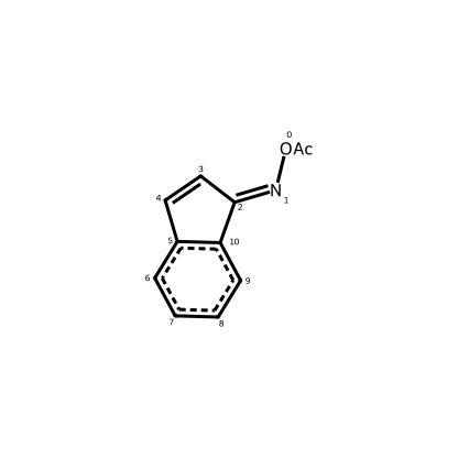 CC(=O)ON=C1C=Cc2ccccc21